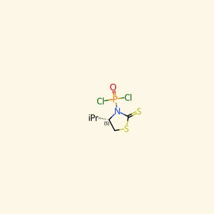 CC(C)[C@H]1CSC(=S)N1P(=O)(Cl)Cl